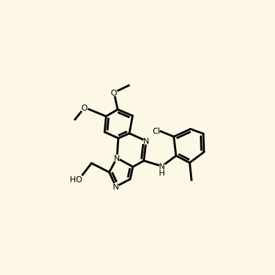 COc1cc2nc(Nc3c(C)cccc3Cl)c3cnc(CO)n3c2cc1OC